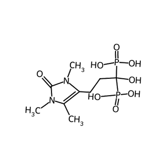 Cc1c(CCC(O)(P(=O)(O)O)P(=O)(O)O)n(C)c(=O)n1C